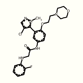 Cn1ncc(Cl)c1-c1cc(NC(=O)CNc2ccccc2F)ccc1OCCN1CCOCC1